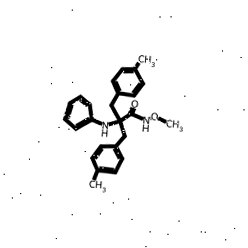 CONC(=O)C(Cc1ccc(C)cc1)(Cc1ccc(C)cc1)Nc1ccccc1